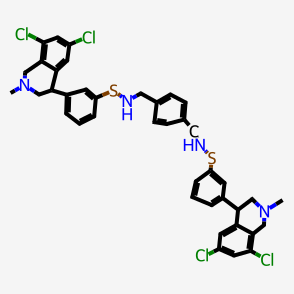 CN1Cc2c(Cl)cc(Cl)cc2C(c2cccc(SNCc3ccc(CNSc4cccc(C5CN(C)Cc6c(Cl)cc(Cl)cc65)c4)cc3)c2)C1